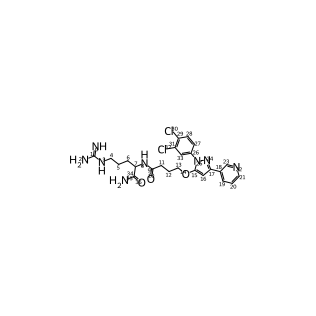 N=C(N)NCCCC(NC(=O)CCCOc1cc(-c2cccnc2)nn1-c1ccc(Cl)c(Cl)c1)C(N)=O